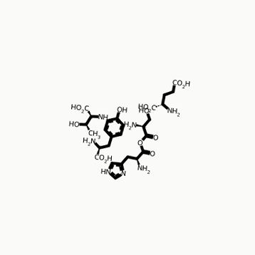 C[C@@H](O)[C@H](N)C(=O)O.N[C@@H](CCC(=O)O)C(=O)O.N[C@@H](CO)C(=O)OC(=O)[C@@H](N)Cc1c[nH]cn1.N[C@@H](Cc1ccc(O)cc1)C(=O)O